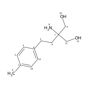 Cc1ccc(CCC(N)(CO)CO)cc1